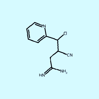 N#CC(CC(=N)N)C(Cl)c1ccccn1